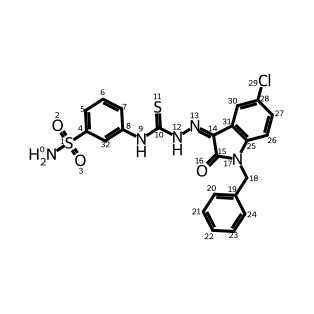 NS(=O)(=O)c1cccc(NC(=S)NN=C2C(=O)N(Cc3ccccc3)c3ccc(Cl)cc32)c1